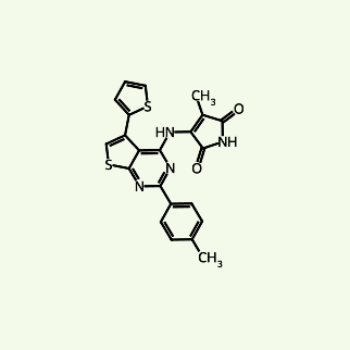 CC1=C(Nc2nc(-c3ccc(C)cc3)nc3scc(-c4cccs4)c23)C(=O)NC1=O